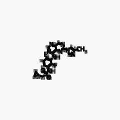 Cc1cn(-c2ncc3ncnc(Nc4c(F)ccc(NS(=O)(=O)CC5CC5)c4F)c3n2)cn1